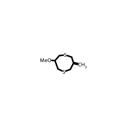 C=C1CSCC(OC)CSC1